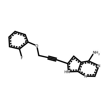 Nc1ncnc2[nH]c(C#CCOc3ccccc3F)cc12